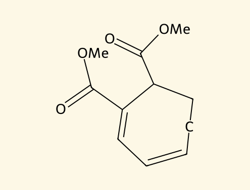 COC(=O)C1=CC=CCCC1C(=O)OC